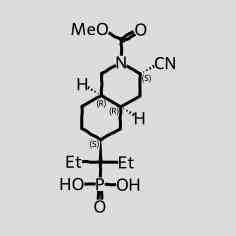 CCC(CC)([C@H]1CC[C@H]2CN(C(=O)OC)[C@H](C#N)C[C@H]2C1)P(=O)(O)O